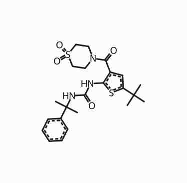 CC(C)(C)c1cc(C(=O)N2CCS(=O)(=O)CC2)c(NC(=O)NC(C)(C)c2ccccc2)s1